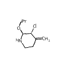 C=C1CCNC(OC(C)C)C1Cl